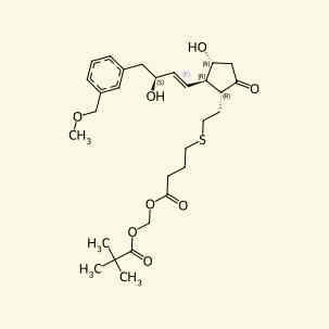 COCc1cccc(C[C@H](O)/C=C/[C@H]2[C@H](O)CC(=O)[C@@H]2CCSCCCC(=O)OCOC(=O)C(C)(C)C)c1